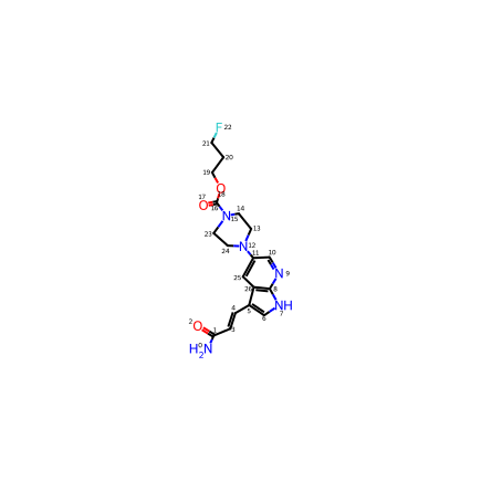 NC(=O)C=Cc1c[nH]c2ncc(N3CCN(C(=O)OCCCF)CC3)cc12